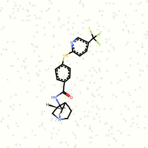 O=C(N[C@H]1CN2CCC1CC2)c1ccc(Sc2ccc(C(F)(F)F)cn2)cc1